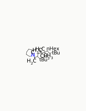 C=C(C(CC(C)(C)C(C)(C)C(CCCCCC)CC(C)(C)C)C(C)(C)C)N1CCCCCC1